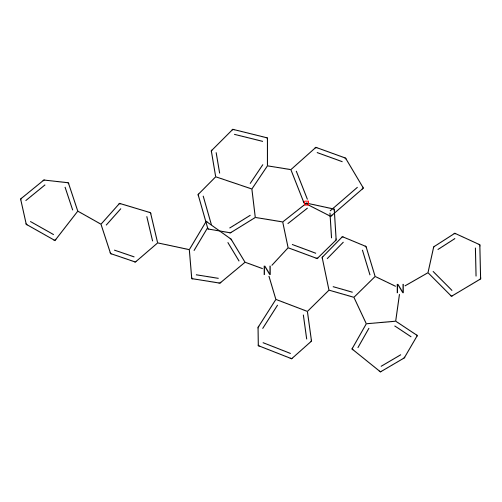 c1ccc(-c2ccc(-c3ccc(N(c4ccccc4-c4cccc5cccc(-c6ccccc6)c45)c4ccccc4-c4cccc5c4c4ccccc4n5-c4ccccc4)cc3)cc2)cc1